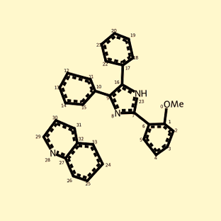 COc1ccccc1-c1nc(-c2ccccc2)c(-c2ccccc2)[nH]1.c1ccc2ncccc2c1